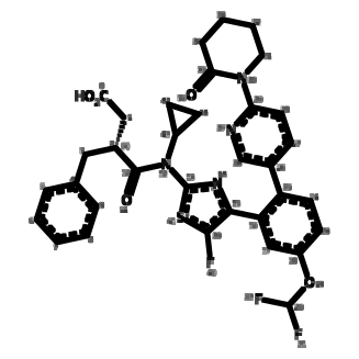 O=C(O)C[C@@H](Cc1ccccc1)C(=O)N(c1nc(-c2cc(OC(F)F)ccc2-c2ccc(N3CCCCC3=O)nc2)c(F)s1)C1CC1